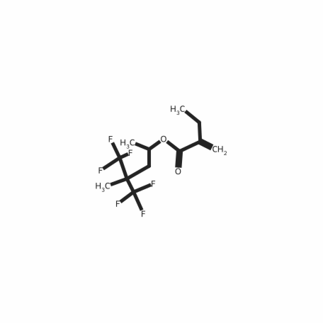 C=C(CC)C(=O)OC(C)CC(C)(C(F)(F)F)C(F)(F)F